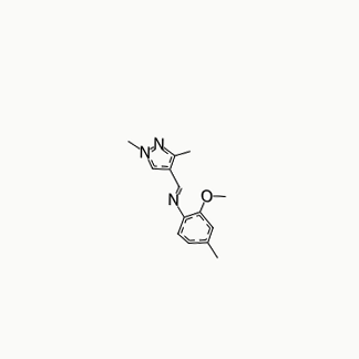 COc1cc(C)ccc1N=Cc1cn(C)nc1C